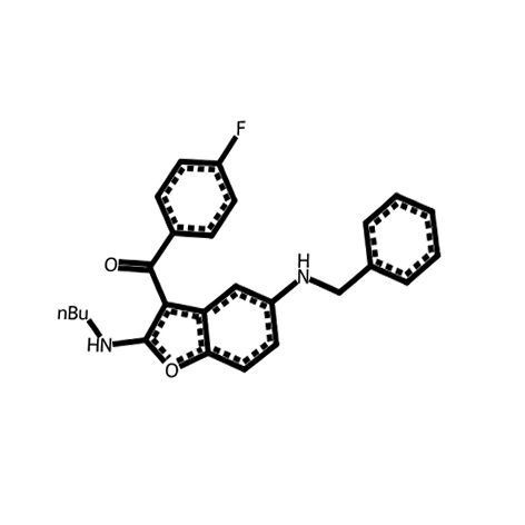 CCCCNc1oc2ccc(NCc3ccccc3)cc2c1C(=O)c1ccc(F)cc1